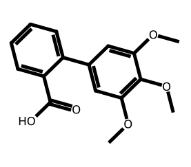 COc1cc(-c2ccccc2C(=O)O)cc(OC)c1OC